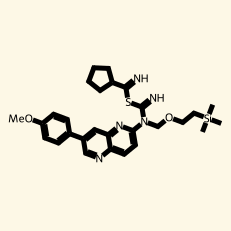 COc1ccc(-c2cnc3ccc(N(COCC[Si](C)(C)C)C(=N)SC(=N)C4CCCC4)nc3c2)cc1